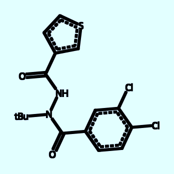 CC(C)(C)N(NC(=O)c1ccsc1)C(=O)c1ccc(Cl)c(Cl)c1